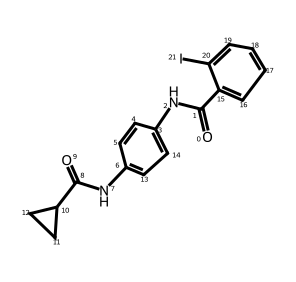 O=C(Nc1ccc(NC(=O)C2CC2)cc1)c1ccccc1I